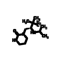 CC(C)N[C@H](CN1CCCNC1=O)C(C)(C)C